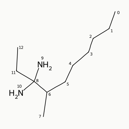 CCCCCCC(C)C(N)(N)CC